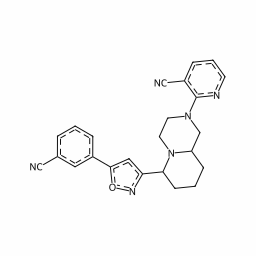 N#Cc1cccc(-c2cc(C3CCCC4CN(c5ncccc5C#N)CCN43)no2)c1